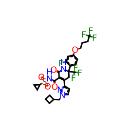 O=C1NC(c2ccc(OCCCC(F)(F)F)cc2F)(C(F)(F)F)CC(c2ccn(CC3CCC3)n2)=C1C(=O)NS(=O)(=O)C1CC1